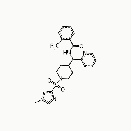 Cn1cnc(S(=O)(=O)N2CCC(C(NC(=O)c3ccccc3C(F)(F)F)c3ccccn3)CC2)c1